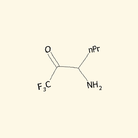 CCCC(N)C(=O)C(F)(F)F